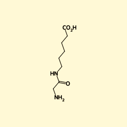 NCC(=O)NCCCCCC(=O)O